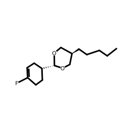 CCCCC[C@H]1CO[C@H](C2CC=C(F)CC2)OC1